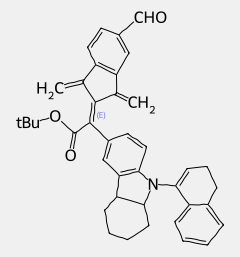 C=C1/C(=C(\C(=O)OC(C)(C)C)c2ccc3c(c2)C2CCCCC2N3C2=CCCc3ccccc32)C(=C)c2cc(C=O)ccc21